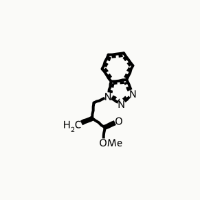 C=C(Cn1nnc2ccccc21)C(=O)OC